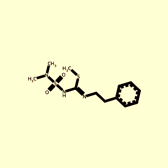 CS/C(=N\CCc1ccccc1)NS(=O)(=O)N(C)C